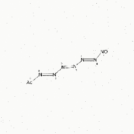 CC(=O)N=NN=NN=NN=O